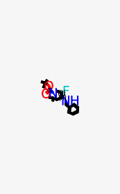 CC(C)(C)OC(=O)N1C[C@@H](F)[C@H](NCc2ccccc2)CC1(C)C